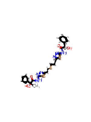 CC(O)(C(=O)Nc1nnc(CCSCCc2nnc(NC(=O)[C@@H](O)c3ccccc3)s2)s1)c1ccccc1